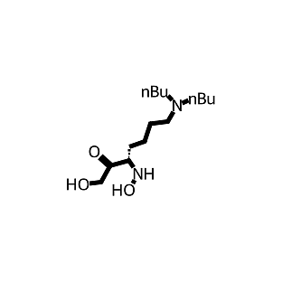 CCCCN(CCCC)CCCC[C@H](NO)C(=O)CO